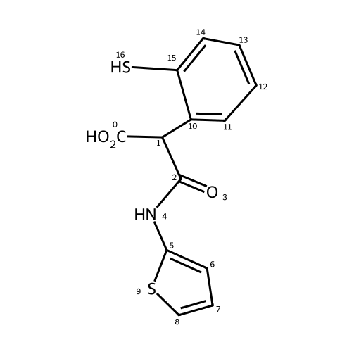 O=C(O)C(C(=O)Nc1cccs1)c1ccccc1S